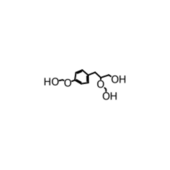 OCOc1ccc(CC(CO)OCO)cc1